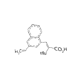 C=Cc1cc(C=C(C(=O)O)C(C)(C)C)c2ccccc2c1